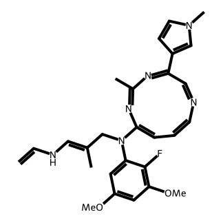 C=CN/C=C(\C)CN(c1cccncc(-c2ccn(C)c2)nc(C)n1)c1cc(OC)cc(OC)c1F